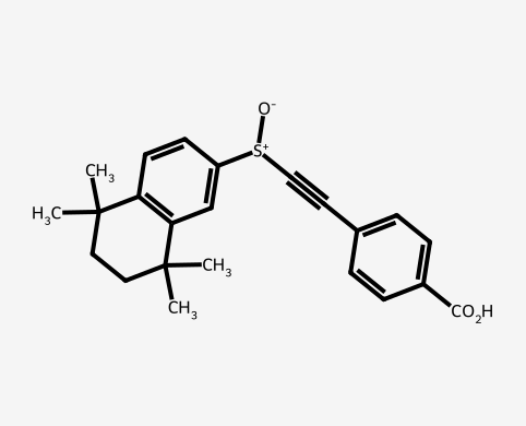 CC1(C)CCC(C)(C)c2cc([S+]([O-])C#Cc3ccc(C(=O)O)cc3)ccc21